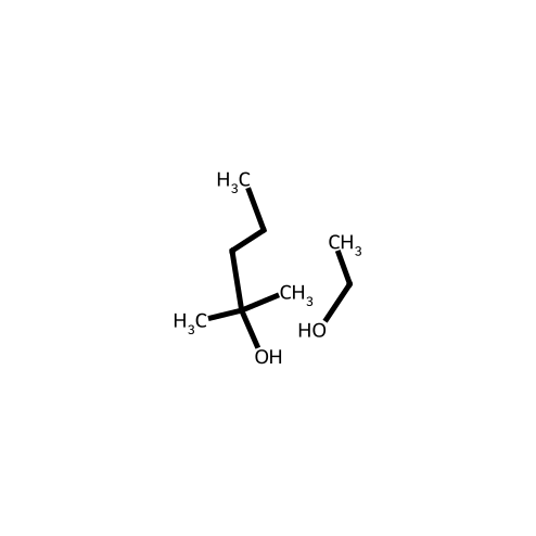 CCCC(C)(C)O.CCO